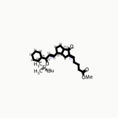 COC(=O)CCC/C=C1\CC2C(/C=C/C(O[Si](C)(C)C(C)(C)C)C3CCCCC3)CCC2C1=O